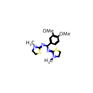 COc1ccc(C(N=C2SCCN2C)N=C2SCCN2C)cc1OC